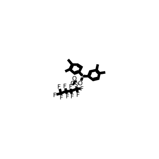 Cc1ccc([I+](OS(=O)(=O)C(F)(F)C(F)(F)C(F)(F)C(F)(F)F)c2ccc(C)c(C)c2)cc1C